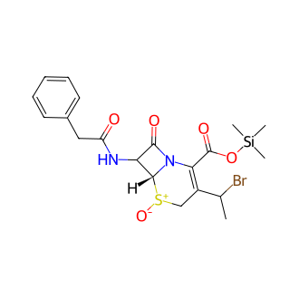 CC(Br)C1=C(C(=O)O[Si](C)(C)C)N2C(=O)C(NC(=O)Cc3ccccc3)[C@H]2[S+]([O-])C1